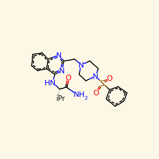 CC(C)[C@H](Nc1nc(CN2CCN(S(=O)(=O)c3ccccc3)CC2)nc2ccccc12)C(N)=O